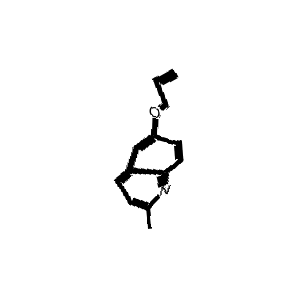 C=CCOc1ccc2nc(C)ccc2c1